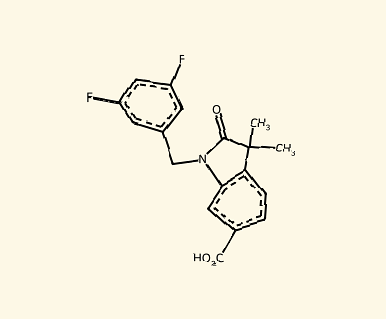 CC1(C)C(=O)N(Cc2cc(F)cc(F)c2)c2cc(C(=O)O)ccc21